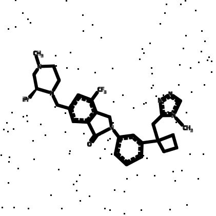 CC(C)[C@H]1CN(C)CCN1Cc1cc2c(c(C(F)(F)F)c1)CN(c1cccc(C3(Cc4nncn4C)CCC3)c1)C2=O